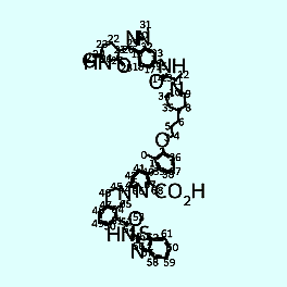 Cc1c(OCCCC2CCN(C(C)C(=O)Nc3ccc4c(C5CCC(=O)NC5=O)nn(C)c4c3)CC2)cccc1-c1ccc(N2CCc3cccc(C(=O)Nc4nc5ccccc5s4)c3C2)nc1C(=O)O